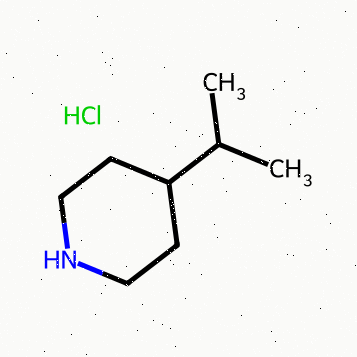 CC(C)C1CCNCC1.Cl